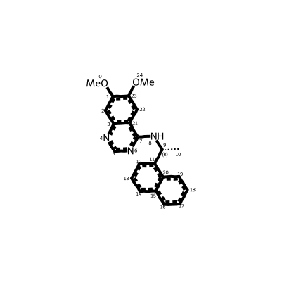 COc1cc2ncnc(N[C@H](C)c3cccc4ccccc34)c2cc1OC